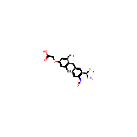 Cc1cc(OCC(=O)O)cc(C)c1Cc1ccc(N=O)c(C(C)C)c1